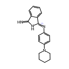 N=C1N/C(=N\c2ccc(N3CCCCC3)cc2)c2ccccc21